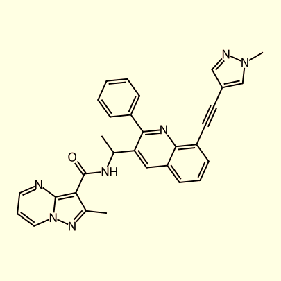 Cc1nn2cccnc2c1C(=O)NC(C)c1cc2cccc(C#Cc3cnn(C)c3)c2nc1-c1ccccc1